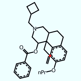 C=CCC12c3cc(OCCC)ccc3CCC1CN(CC1CCC1)CC2OC(=O)c1ccccc1